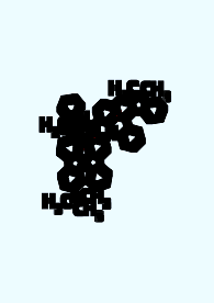 CC(C)(C)c1ccc2c(c1)C1(c3ccccc3-c3cc(N(c4ccccc4-c4cccc5c4-c4ccccc4C5(C)C)c4ccccc4-c4cccc5oc6ccccc6c45)ccc31)c1cc(C(C)(C)C)ccc1-2